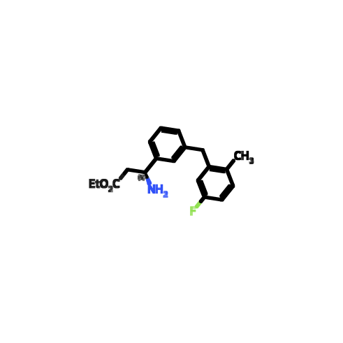 CCOC(=O)C[C@H](N)c1cccc(Cc2cc(F)ccc2C)c1